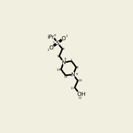 CC(C)S(=O)(=O)CCN1CCN(CCO)CC1